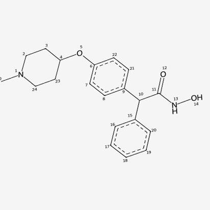 CN1CCC(Oc2ccc(C(C(=O)NO)c3ccccc3)cc2)CC1